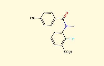 [C-]#[N+]c1ccc(C(=O)N(C)c2cccc(C(=O)O)c2F)cc1